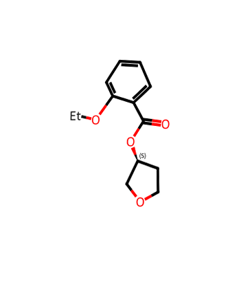 CCOc1ccccc1C(=O)O[C@H]1CCOC1